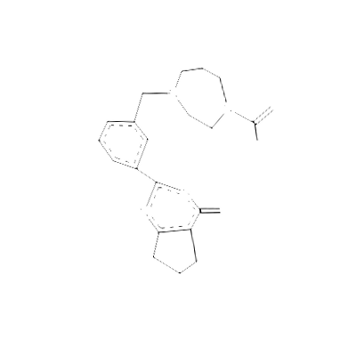 CC(=O)N1CCCN(Cc2cccc(-c3nc4c(c(=O)[nH]3)CCC4)c2)CC1